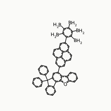 Bc1c(B)c(B)c(-c2cc3ccc4cc(-c5cc6c(c7oc8ccccc8c57)-c5ccccc5C6(c5ccccc5)c5ccccc5)cc5ccc(c2)c3c45)c(B)c1B